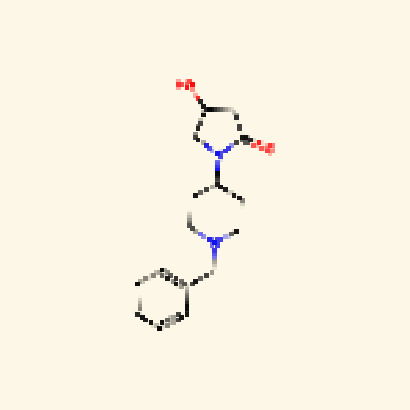 O=C1CC(O)CN1C1CCN(Cc2ccccc2)CC1